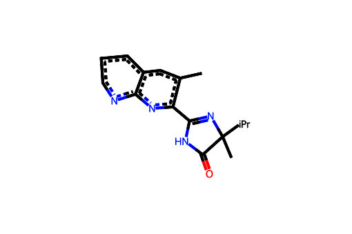 Cc1cc2cccnc2nc1C1=NC(C)(C(C)C)C(=O)N1